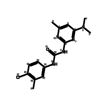 Cc1cc(N(C)C)nc(NC(=O)Nc2ccc(Cl)c(C)c2)n1